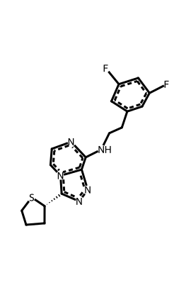 Fc1cc(F)cc(CCNc2nccn3c([C@@H]4CCCS4)nnc23)c1